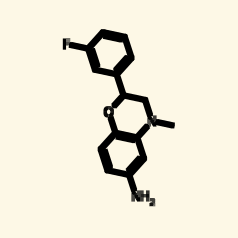 CN1CC(c2cccc(F)c2)Oc2ccc(N)cc21